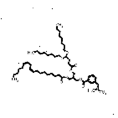 CCCCC/C=C\C/C=C\CCCCCCCC(=O)OCC(COC(=O)CCC(OCCCCCCCC)OCCCCCCCC)COC(=O)c1cccc(CN(C)C)c1